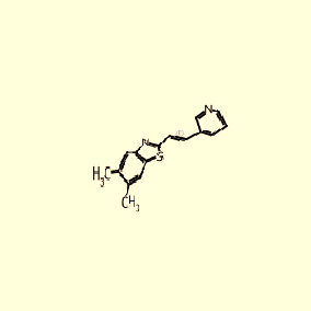 Cc1cc2nc(/C=C/c3cccnc3)sc2cc1C